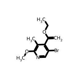 C=C(OCC)c1c(Br)cnc(OC)c1C